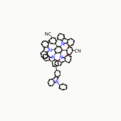 N#Cc1ccc(-c2c(-n3c4ccccc4c4ccccc43)c(-c3ccc(C#N)cc3)c(-n3c4ccccc4c4ccccc43)c(-n3c4ccccc4c4cc(-c5ccc6c(c5)c5ccccc5n6-c5ccccc5)ccc43)c2-n2c3ccccc3c3ccccc32)cc1